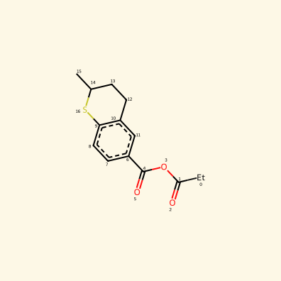 CCC(=O)OC(=O)c1ccc2c(c1)CCC(C)S2